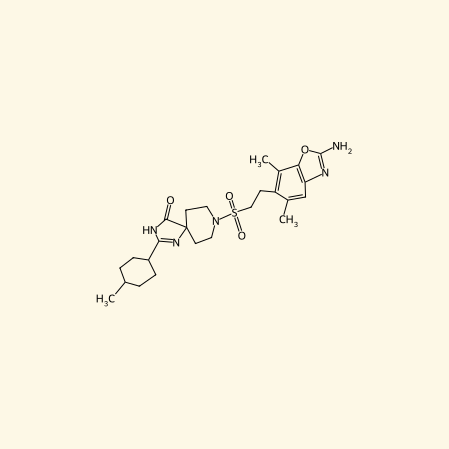 Cc1cc2nc(N)oc2c(C)c1CCS(=O)(=O)N1CCC2(CC1)N=C(C1CCC(C)CC1)NC2=O